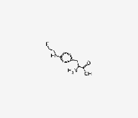 NC(Cc1ccc(NCCF)cc1)C(=O)O